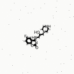 O=c1nc(NCC(O)CN2CCNCC2)c2cc(F)ccc2o1